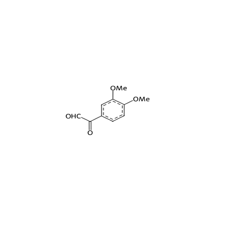 COc1ccc(C(=O)C=O)cc1OC